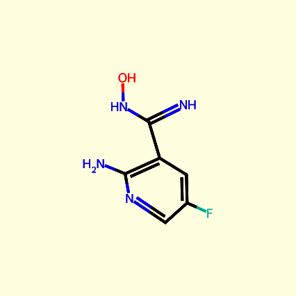 N=C(NO)c1cc(F)cnc1N